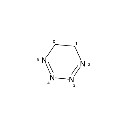 C1CN=NN=N1